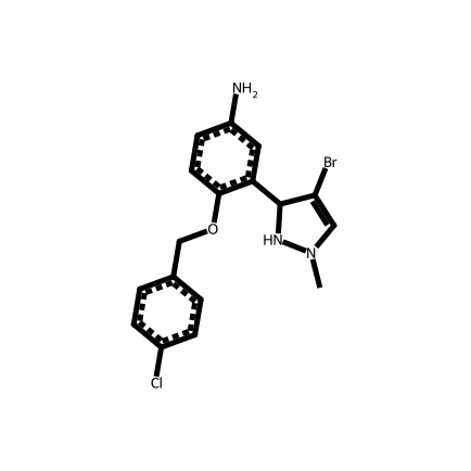 CN1C=C(Br)C(c2cc(N)ccc2OCc2ccc(Cl)cc2)N1